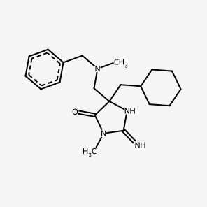 CN(Cc1ccccc1)CC1(CC2CCCCC2)NC(=N)N(C)C1=O